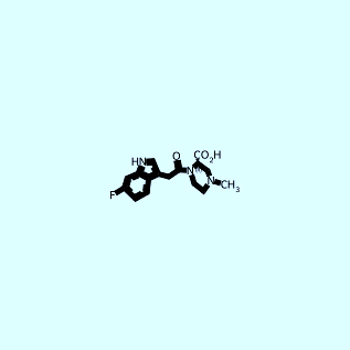 CN1CCN(C(=O)Cc2c[nH]c3cc(F)ccc23)[C@@H](C(=O)O)C1